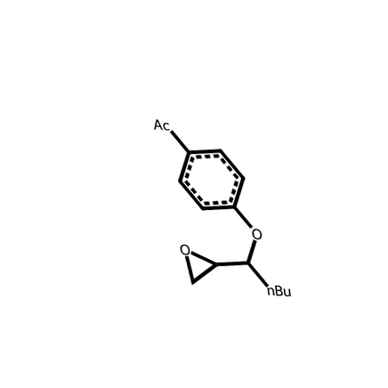 CCCCC(Oc1ccc(C(C)=O)cc1)C1CO1